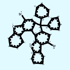 Brc1cc2c(c3c1oc1ccccc13)-c1c(cc(Br)c3c1oc1ccccc13)C2(c1ccccc1)c1ccccc1